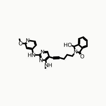 CNc1nc(Nc2ccnc(OC)c2)ncc1C#CCCCN1C(=O)c2ccccc2C1O